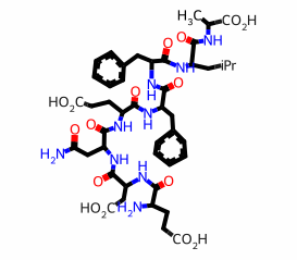 CC(C)CC(NC(=O)C(Cc1ccccc1)NC(=O)C(Cc1ccccc1)NC(=O)C(CCC(=O)O)NC(=O)C(CC(N)=O)NC(=O)C(CC(=O)O)NC(=O)C(N)CCC(=O)O)C(=O)NC(C)C(=O)O